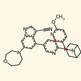 COc1ccc(CN2C3CC2CN(c2ccc(-c4cc(N5CCCOCC5)cn5ncc(C#N)c45)cn2)C3)cn1